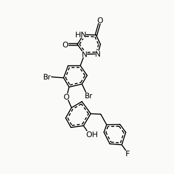 O=c1cnn(-c2cc(Br)c(Oc3ccc(O)c(Cc4ccc(F)cc4)c3)c(Br)c2)c(=O)[nH]1